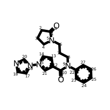 O=C1CCCN1CCCN(C(=O)c1ccn(-n2ccnc2)c1)c1ccccc1